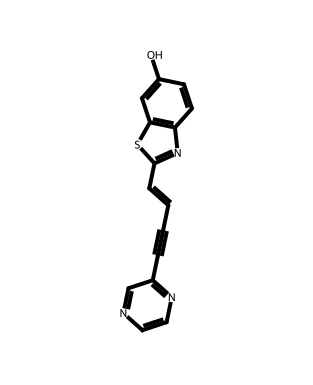 Oc1ccc2nc(/C=C/C#Cc3cn[c]cn3)sc2c1